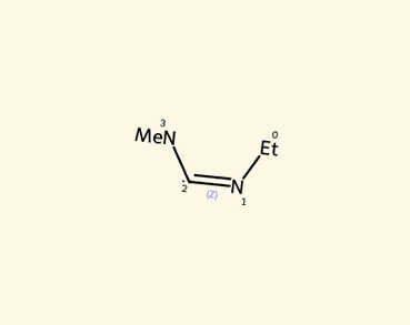 CC/N=[C]\NC